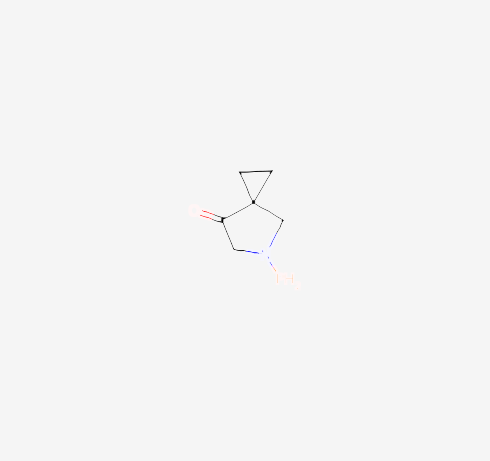 O=C1CN(P)CC12CC2